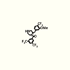 COc1cc(C[C@@H]2CNCCN2C(=O)c2cc(C(F)(F)F)cc(C(F)(F)F)c2)ccc1C(F)(F)F